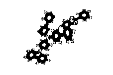 c1ccc(-c2cccc(N(c3ccc(-c4cccc5c4ccc4oc(-c6ccccc6)nc45)cc3)c3ccc(-n4c5ccccc5c5ccccc54)cc3)c2)cc1